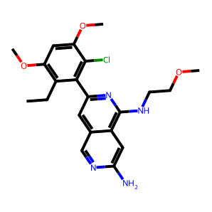 CCc1c(OC)cc(OC)c(Cl)c1-c1cc2cnc(N)cc2c(NCCOC)n1